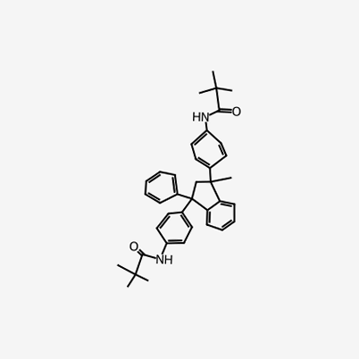 CC(C)(C)C(=O)Nc1ccc(C2(C)CC(c3ccccc3)(c3ccc(NC(=O)C(C)(C)C)cc3)c3ccccc32)cc1